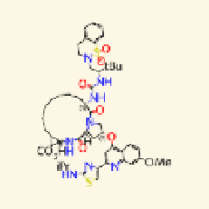 COc1ccc2c(O[C@@H]3C[C@H]4C(=O)N[C@]5(C(=O)O)CC5CCCCCCC[C@H](NC(=O)NC(CN5CCc6ccccc6S5(=O)=O)C(C)(C)C)C(=O)N4C3)cc(-c3csc(NC(C)C)n3)nc2c1